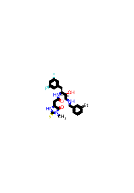 CCc1cccc(CNC[C@H](O)[C@H](Cc2cc(F)cc(F)c2)NC(=O)CC2NC(=S)N(C)C2=O)c1